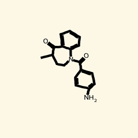 CC1CCN(C(=O)c2ccc(N)cc2)c2ccccc2C1=O